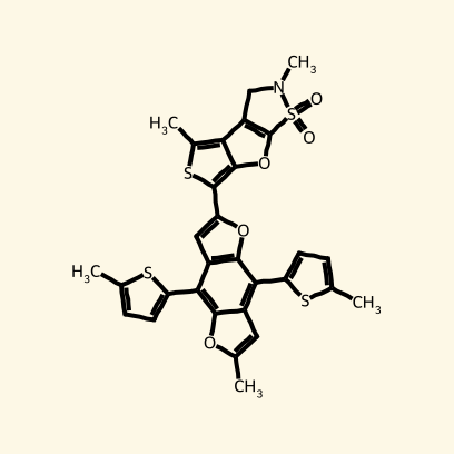 Cc1cc2c(-c3ccc(C)s3)c3oc(-c4sc(C)c5c6c(oc45)S(=O)(=O)N(C)C6)cc3c(-c3ccc(C)s3)c2o1